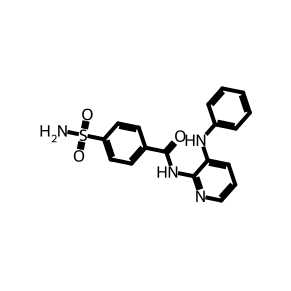 NS(=O)(=O)c1ccc(C(=O)Nc2ncccc2Nc2ccccc2)cc1